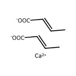 C/C=C/C(=O)[O-].C/C=C/C(=O)[O-].[Ca+2]